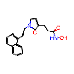 O=C(CCC1=CCN(CCc2cccc3ccccc23)C1=O)NO